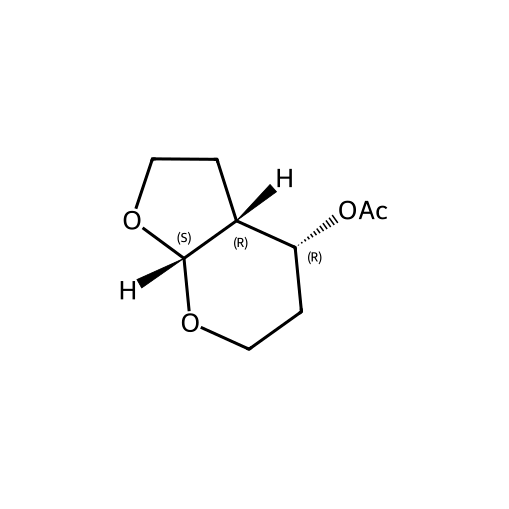 CC(=O)O[C@@H]1CCO[C@@H]2OCC[C@@H]21